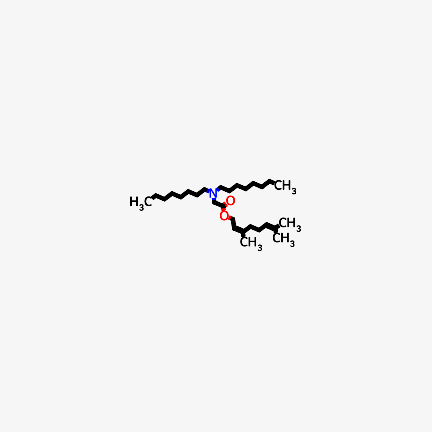 CCCCCCCCN(CCCCCCCC)CC(=O)OCC=C(C)CCC=C(C)C